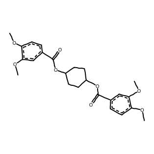 COc1ccc(C(=O)OC2CCC(OC(=O)c3ccc(OC)c(OC)c3)CC2)cc1OC